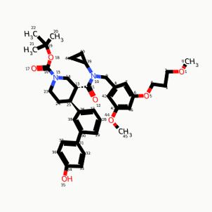 COCCCOc1cc(CN(C(=O)[C@H]2CN(C(=O)OC(C)(C)C)CC[C@@H]2c2cccc(-c3ccc(O)cc3)c2)C2CC2)cc(OC)c1